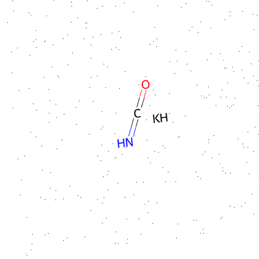 N=C=O.[KH]